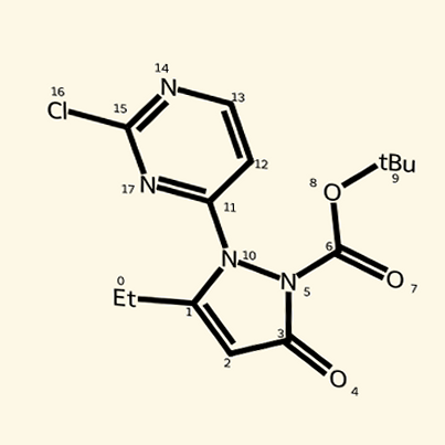 CCc1cc(=O)n(C(=O)OC(C)(C)C)n1-c1ccnc(Cl)n1